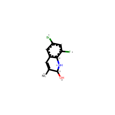 N#CC1=Cc2cc(Br)cc(F)c2NC1O